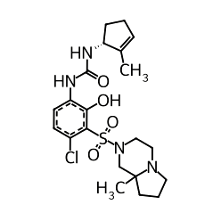 CC1=CCC[C@H]1NC(=O)Nc1ccc(Cl)c(S(=O)(=O)N2CCN3CCCC3(C)C2)c1O